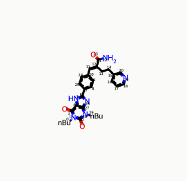 CCCCn1c(=O)c2[nH]c(-c3ccc(/C=C(\CCc4cccnc4)C(N)=O)cc3)nc2n(CCCC)c1=O